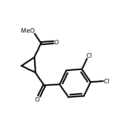 COC(=O)C1CC1C(=O)c1ccc(Cl)c(Cl)c1